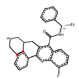 CC[C@H](NC(=O)c1c(CC2CCCNC2)c(-c2ccccc2)nc2c(F)cccc12)c1ccccc1